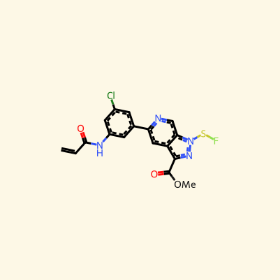 C=CC(=O)Nc1cc(Cl)cc(-c2cc3c(C(=O)OC)nn(SF)c3cn2)c1